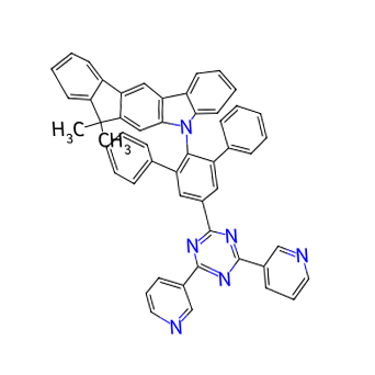 CC1(C)c2ccccc2-c2cc3c4ccccc4n(-c4c(-c5ccccc5)cc(-c5nc(-c6cccnc6)nc(-c6cccnc6)n5)cc4-c4ccccc4)c3cc21